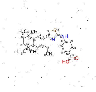 CCc1cc2c(cc1-c1csc(Nc3ccc(C(=O)O)cc3)n1)C(C)(C)CCC2(C)C